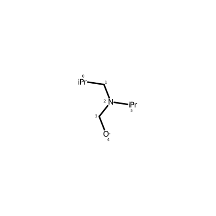 CC(C)CN(C[O])C(C)C